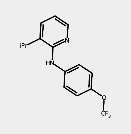 CC(C)c1cccnc1Nc1ccc(OC(F)(F)F)cc1